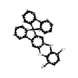 Clc1ccc(Cl)c2c1Oc1cc3c(cc1O2)C1(c2ccccc2-c2ccccc21)c1ccccc1-3